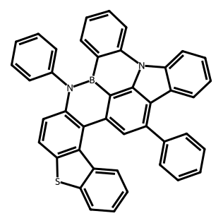 c1ccc(-c2cc3c4c5c2c2ccccc2n5-c2ccccc2B4N(c2ccccc2)c2ccc4sc5ccccc5c4c2-3)cc1